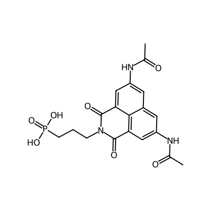 CC(=O)Nc1cc2c3c(cc(NC(C)=O)cc3c1)C(=O)N(CCCP(=O)(O)O)C2=O